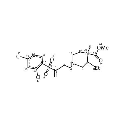 CCC1CN(CCNS(=O)(=O)c2ccc(Cl)cc2Cl)CC[N+]1(C)C(=O)OC